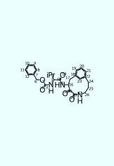 CC(C)C(NC(=O)OCc1ccccc1)C(=O)NC1Cc2cccc(c2)CCCNC(=O)C1=O